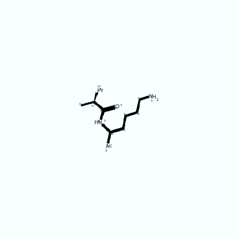 CC(=O)C(CCCCN)NC(=O)[C@@H](C)C(C)C